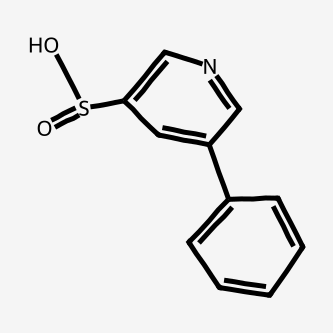 O=S(O)c1cncc(-c2ccccc2)c1